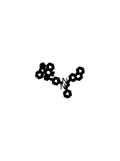 CC1(C)c2ccccc2C2(c3ccccc3-c3ccccc32)c2cccc(-c3ccc(-c4nc(-c5ccccc5)cc(-c5ccc6c(ccc7ccccc76)c5)n4)cc3)c21